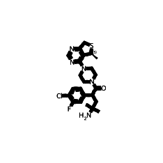 C[C@@H]1SCc2ncnc(N3CCN(C(=O)C(CC(C)(C)N)c4ccc(Cl)c(F)c4)CC3)c21